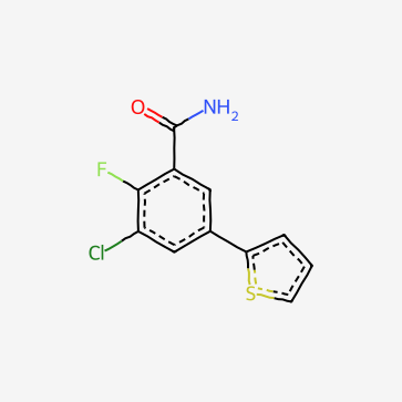 NC(=O)c1cc(-c2cccs2)cc(Cl)c1F